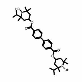 CC(C)C1(C)CC(OC(=O)c2ccc(-c3ccc(C(=O)OC4CC(C)(C)N(O)C(C)(C(C)C)C4)cc3)cc2)CC(C)(C)N1O